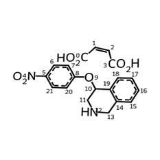 O=C(O)/C=C\C(=O)O.O=[N+]([O-])c1ccc(OC2CNCc3ccccc32)cc1